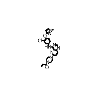 C=CC(=O)N1CCN(c2ccc3ncnc(Nc4ccc(Oc5ccn(C)n5)c(Cl)c4)c3n2)CC1